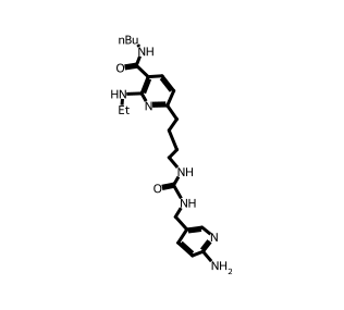 CCCCNC(=O)c1ccc(CCCCNC(=O)NCc2ccc(N)nc2)nc1NCC